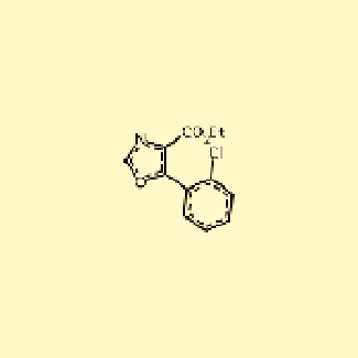 CCOC(=O)c1ncoc1-c1ccccc1Cl